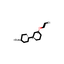 CCC=CO[C@@H]1CCC[C@@H]([C@H]2CC[C@H](CCCC)CC2)C1